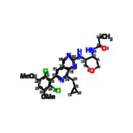 C=CC(=O)N[C@H]1CCOC[C@H]1Nc1ncc2cc(-c3c(Cl)c(OC)cc(OC)c3Cl)nc(CC3CC3)c2n1